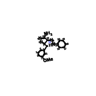 COc1cccc(CC2=NN=C(N)/C2=N/Nc2ccccc2)c1